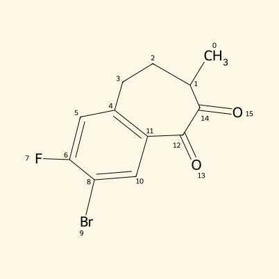 CC1CCc2cc(F)c(Br)cc2C(=O)C1=O